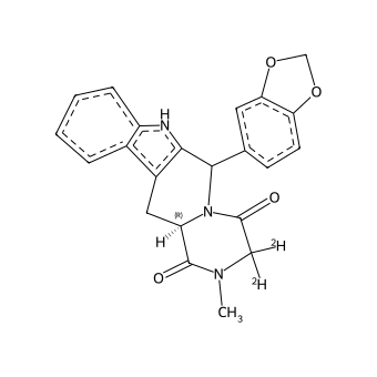 [2H]C1([2H])C(=O)N2C(c3ccc4c(c3)OCO4)c3[nH]c4ccccc4c3C[C@@H]2C(=O)N1C